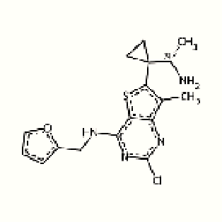 Cc1c(C2([C@H](C)N)CC2)sc2c(NCc3ccco3)nc(Cl)nc12